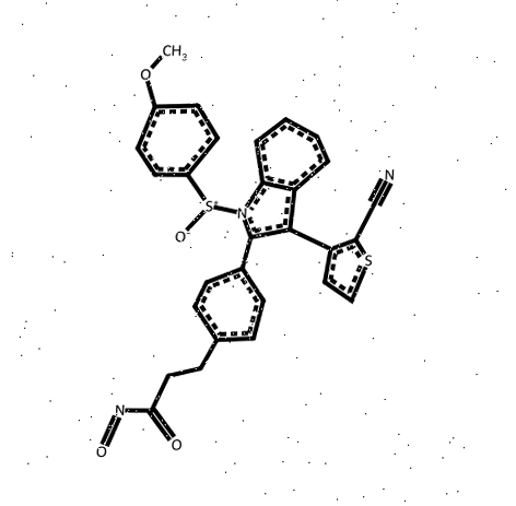 COc1ccc([S+]([O-])n2c(-c3ccc(CCC(=O)N=O)cc3)c(-c3ccsc3C#N)c3ccccc32)cc1